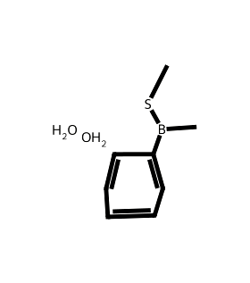 CSB(C)c1ccccc1.O.O